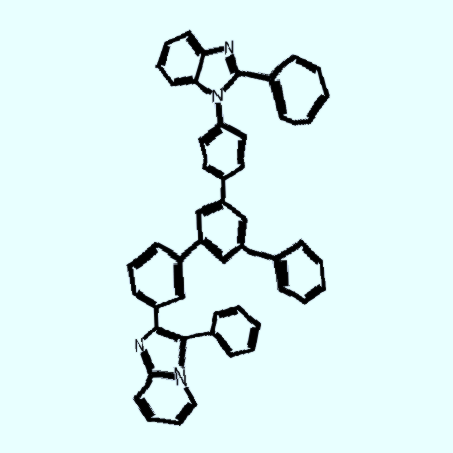 c1ccc(-c2cc(-c3ccc(-n4c(-c5ccccc5)nc5ccccc54)cc3)cc(-c3cccc(-c4nc5ccccn5c4-c4ccccc4)c3)c2)cc1